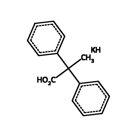 CC(C(=O)O)(c1ccccc1)c1ccccc1.[KH]